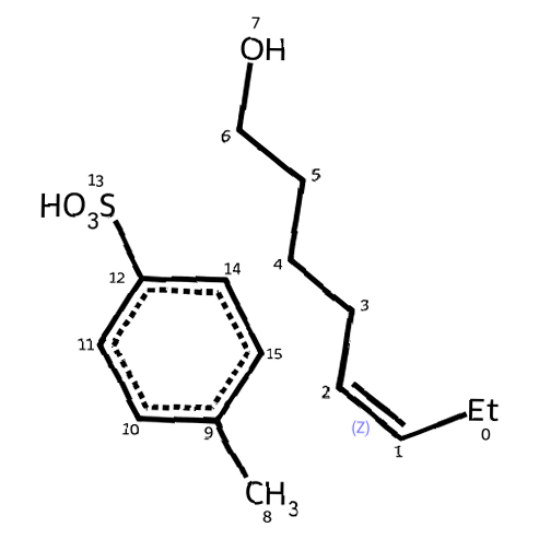 CC/C=C\CCCCO.Cc1ccc(S(=O)(=O)O)cc1